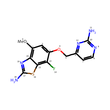 COc1cc(OCc2ccnc(N)n2)c(F)c2sc(N)nc12